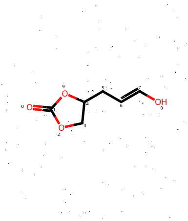 O=C1OCC(CC=CO)O1